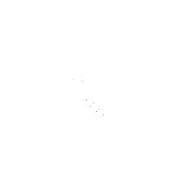 CC(=O)c1cc(-c2cccc(Cl)c2Cl)c(C)nc1N1CCC2(CC1)CO[C@@H](C)[C@H]2NC(=O)OC(C)(C)C